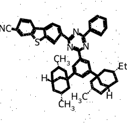 CC[C@@H]1C[C@@H]2C[C@H](C)CC(c3cc(-c4nc(-c5ccccc5)nc(-c5ccc6c(c5)sc5cc(C#N)ccc56)n4)cc(C45C[C@H](C)C[C@H](C[C@H](C)C4)C5)c3)(C1)C2